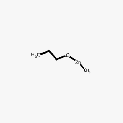 CCC[O][Zn][CH3]